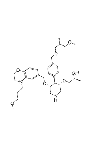 COCCCN1CCOc2ccc(CO[C@H]3CNC[C@@H](OC[C@H](C)O)[C@@H]3c3ccc(COC[C@@H](C)COC)cc3)cc21